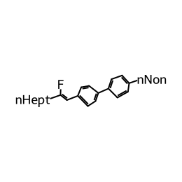 CCCCCCCCCc1ccc(-c2ccc(C=C(F)CCCCCCC)cc2)cc1